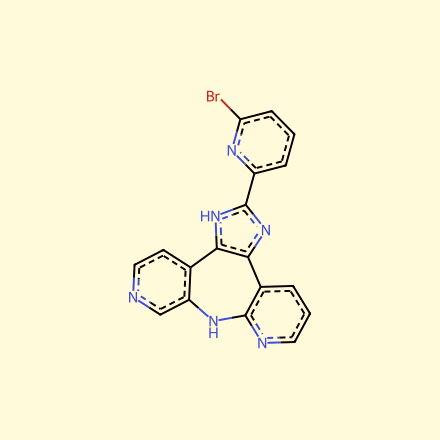 Brc1cccc(-c2nc3c([nH]2)-c2ccncc2Nc2ncccc2-3)n1